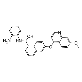 COc1ccc2c(Oc3ccc4c(C(O)Nc5ccccc5N)cccc4c3)ccnc2c1